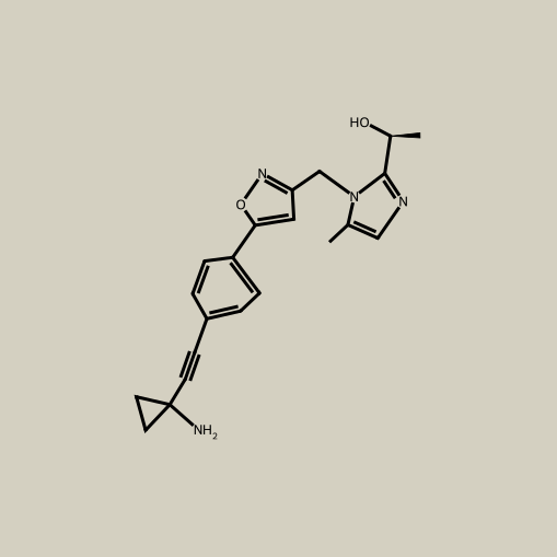 Cc1cnc([C@H](C)O)n1Cc1cc(-c2ccc(C#CC3(N)CC3)cc2)on1